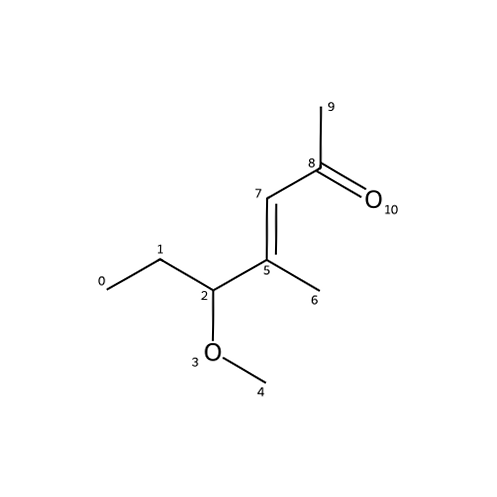 CCC(OC)C(C)=CC(C)=O